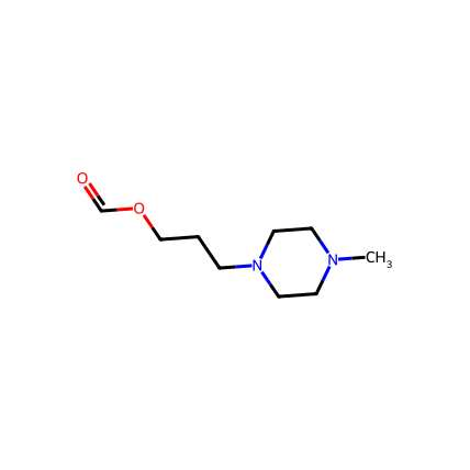 CN1CCN(CCCOC=O)CC1